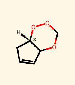 C1=CC2OCOO[C@H]2C1